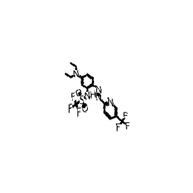 CCN(CC)c1ccc(N=Nc2ccc(C(F)(F)F)cn2)c(NS(=O)(=O)C(F)(F)F)c1